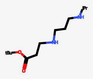 CC(C)NCCCNCCC(=O)OC(C)(C)C